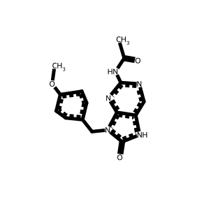 COc1ccc(Cn2c(=O)[nH]c3cnc(NC(C)=O)nc32)cc1